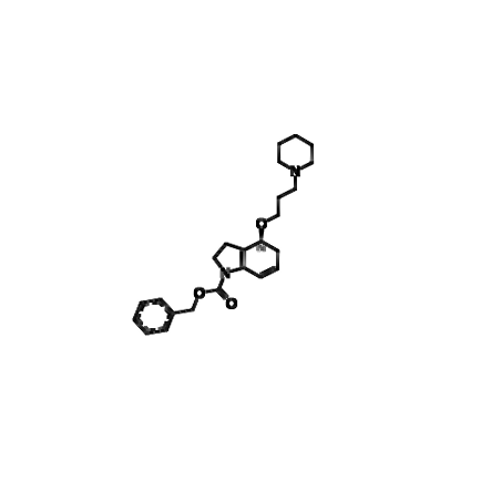 O=C(OCc1ccccc1)N1CCC2=C1C=CC[C@@H]2OCCCN1CCCCC1